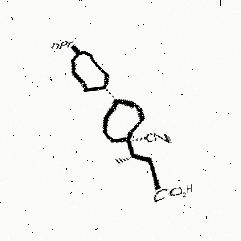 CCCC1CCC([C@H]2CC[C@](C#N)([C@@H](C)CCC(=O)O)CC2)CC1